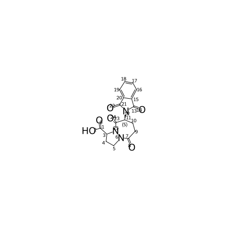 O=C(O)C1CCN2C(=O)CC[C@H](N3C(=O)c4ccccc4C3=O)C(=O)N12